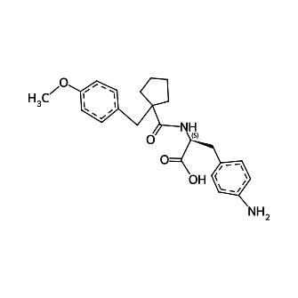 COc1ccc(CC2(C(=O)N[C@@H](Cc3ccc(N)cc3)C(=O)O)CCCC2)cc1